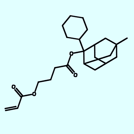 C=CC(=O)OCCCC(=O)OC1(C2CCCCC2)C2CC3CC1CC(C)(C3)C2